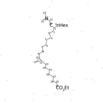 CCCCCCC(CCCCCCCCC1CC1CCCCCCCC(=O)OCC)CCN(C)C